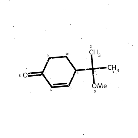 COC(C)(C)C1C=CC(=O)CC1